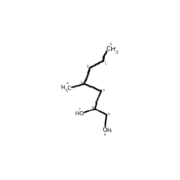 CCCC(C)CC(O)CO